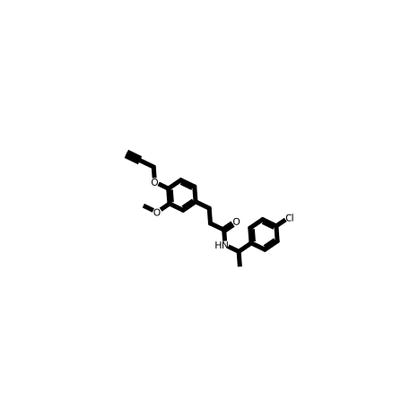 C#CCOc1ccc(CCC(=O)NC(C)c2ccc(Cl)cc2)cc1OC